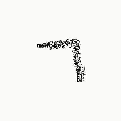 O=P([O-])([O-])[O-].O=P([O-])([O-])[O-].O=P([O-])([O-])[O-].O=P([O-])([O-])[O-].O=P([O-])([O-])[O-].O=P([O-])([O-])[O-].O=P([O-])([O-])[O-].O=P([O-])([O-])[O-].[Ba+2].[Ba+2].[Ba+2].[Ba+2].[Ba+2].[Ba+2].[Zn+2].[Zn+2].[Zn+2].[Zn+2].[Zn+2].[Zn+2]